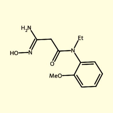 CCN(C(=O)CC(N)=NO)c1ccccc1OC